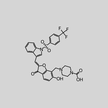 O=C1C(=Cc2cn(S(=O)(=O)c3ccc(C(F)(F)F)cc3)c3ccccc23)Oc2c1ccc(O)c2CN1CCN(C(=O)O)CC1